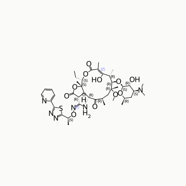 CC[C@@H]1OC(=O)/C(C)=C(\O)[C@H](C)[C@@H](O[C@@H]2O[C@H](C)C[C@H](N(C)C)[C@H]2O)[C@](C)(OC)C[C@@H](C)C(=O)[C@H](C)[C@H]2[C@H](/C(N)=N/O[C@@H](C)c3nnc(-c4ccccn4)s3)C(=O)O[C@@]21C